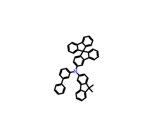 CC1(C)c2ccccc2-c2cc(N(c3cccc(-c4ccccc4)c3)c3ccc4c(c3)-c3ccccc3C43c4ccccc4-c4ccccc43)ccc21